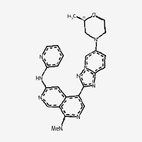 CNc1ncc(-c2nc3ccc(N4CCO[C@H](C)C4)cn3n2)c2cc(Nc3ccccn3)ncc12